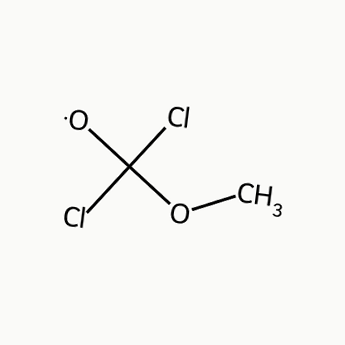 COC([O])(Cl)Cl